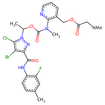 CNCC(=O)OCc1cccnc1N(C)C(=O)OC(C)n1nc(C(=O)Nc2ccc(C)cc2F)c(Br)c1Cl